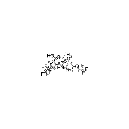 CCS(=O)(=O)c1cc(OCC(F)(F)F)cnc1NCc1sc(C(F)(F)C(F)(F)F)cc1C(=O)O